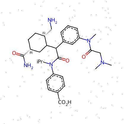 CC(C)N(C(=O)C(c1cccc(N(C)C(=O)CN(C)C)c1)C1C[C@H](C(N)=O)CC[C@@H]1CN)c1ccc(C(=O)O)cc1